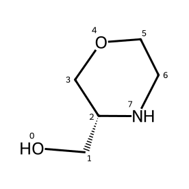 OC[C@@H]1COCCN1